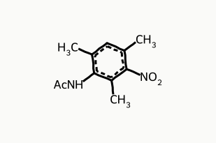 CC(=O)Nc1c(C)cc(C)c([N+](=O)[O-])c1C